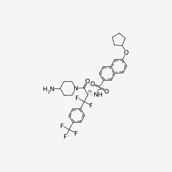 NC1CCN(C(=O)[C@H](NS(=O)(=O)c2ccc3cc(OC4CCCC4)ccc3c2)C(F)(F)c2ccc(C(F)(F)F)cc2)CC1